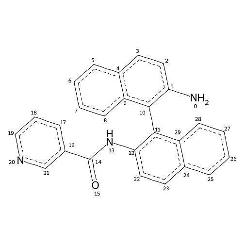 Nc1ccc2ccccc2c1-c1c(NC(=O)c2cccnc2)ccc2ccccc12